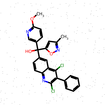 COc1ccc(C(O)(c2ccc3nc(Cl)c(-c4ccccc4)c(Cl)c3c2)c2cc(C)no2)cn1